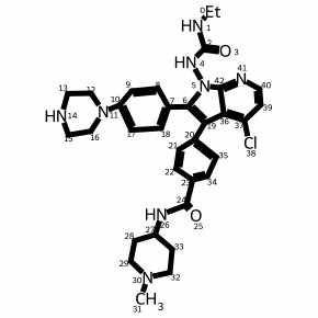 CCNC(=O)Nn1c(-c2ccc(N3CCNCC3)cc2)c(-c2ccc(C(=O)NC3CCN(C)CC3)cc2)c2c(Cl)ccnc21